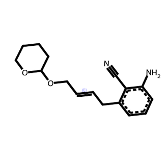 N#Cc1c(N)cccc1C/C=C/COC1CCCCO1